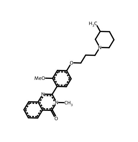 COc1cc(OCCCN2CCCC(C)C2)ccc1-c1nc2ccccc2c(=O)n1C